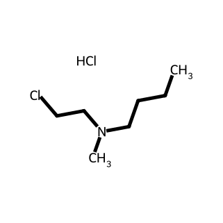 CCCCN(C)CCCl.Cl